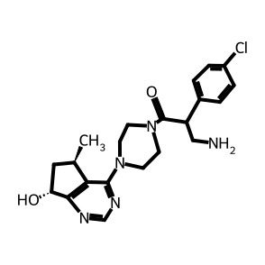 C[C@@H]1C[C@@H](O)c2ncnc(N3CCN(C(=O)C(CN)c4ccc(Cl)cc4)CC3)c21